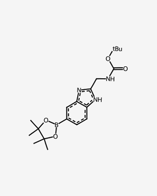 CC(C)(C)OC(=O)NCc1nc2cc(B3OC(C)(C)C(C)(C)O3)ccc2[nH]1